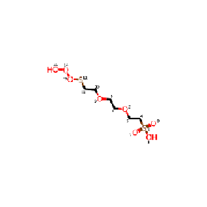 O=S(=O)(O)CCOCCOCCSOOO